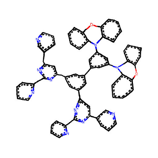 c1ccc(-c2nc(-c3cccnc3)cc(-c3cc(-c4cc(N5c6ccccc6Oc6ccccc65)cc(N5c6ccccc6Oc6ccccc65)c4)cc(-c4cc(-c5cccnc5)nc(-c5ccccn5)n4)c3)n2)nc1